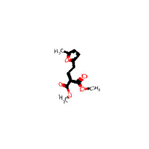 COC(=O)C(=CCc1ccc(C)o1)C(=O)OC